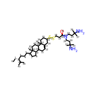 CC[C@H](CCCC1CCC2C3CC=C4CC(SSCCC(=O)N(CCC(C)(C)N)CCC(C)(C)N)CCC4(C)C3CCC12C)C(C)C